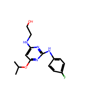 CC(C)Oc1cc(NCCO)nc(Nc2ccc(F)cc2)n1